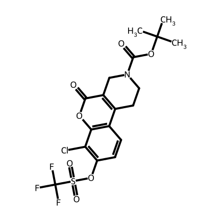 CC(C)(C)OC(=O)N1CCc2c(c(=O)oc3c(Cl)c(OS(=O)(=O)C(F)(F)F)ccc23)C1